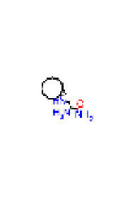 NC(=O)C(N)CNC12CCCCCCCCCC1C2